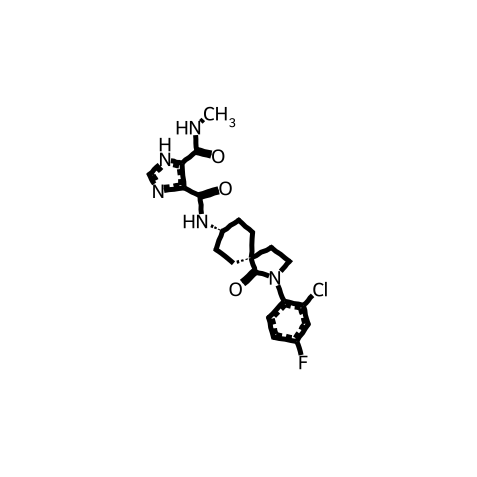 CNC(=O)c1[nH]cnc1C(=O)N[C@H]1CC[C@@]2(CCN(c3ccc(F)cc3Cl)C2=O)CC1